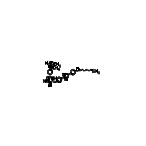 CCCCCCCOc1ccc(-c2cnc(-c3ccc(CC(NC(=O)c4ccc(OC(C)(C)C)cc4)C(=O)O)cc3)nc2)cc1